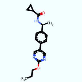 C[C@H](NC(=O)C1CC1)c1ccc(-c2cnc(OCCC(F)(F)F)nc2)cc1